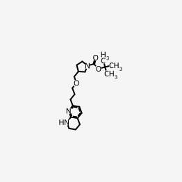 CC(C)(C)OC(=O)N1CCC(COCCCc2ccc3c(n2)NCCC3)C1